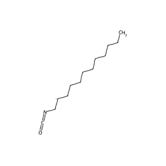 CCCCCCCCCC[CH]CN=C=O